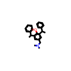 CC(c1ccccc1)c1cc(CN(C)C)cc(C(C)c2ccccc2)c1O